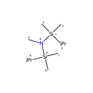 CC(C)[Si](C)(C)N(C)[Si](C)(C)C(C)C